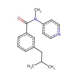 CC(C)Cc1cccc(C(=O)N(C)c2ccncc2)c1